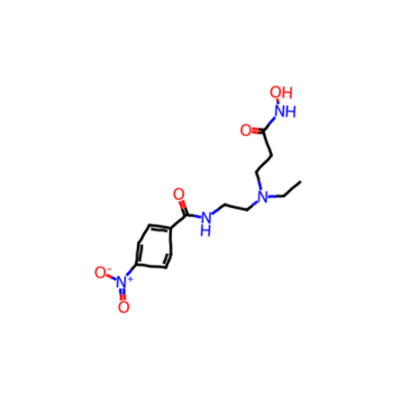 CCN(CCNC(=O)c1ccc([N+](=O)[O-])cc1)CCC(=O)NO